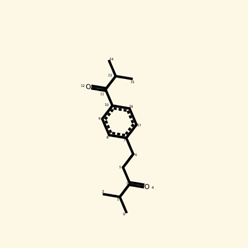 CC(C)C(=O)CCc1ccc(C(=O)C(C)C)cc1